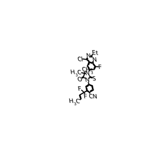 C/C=C/C(F)(F)c1cc(N2C(=O)C(C)(C)N(c3cc(F)c4nc(CC)nc(Cl)c4c3)C2=S)ccc1C#N